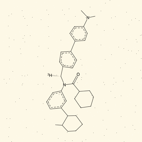 [2H][C@H](c1ccc(-c2ccc(N(C)C)cc2)cc1)N(C(=O)C1CCCCC1)c1cccc(C2CCCCC2C)c1